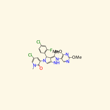 COc1ncc(N2NC3=CN(c4cc(Cl)cn(C)c4=O)C(c4ccc(Cl)cc4F)C3=C2C(C)C)c(OC)n1